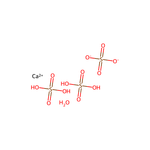 O.O=S(=O)(O)O.O=S(=O)(O)O.O=S(=O)([O-])[O-].[Ca+2]